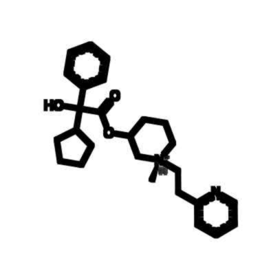 C[N@+]1(CCc2ccccn2)CCCC(OC(=O)C(O)(c2ccccc2)C2CCCC2)C1